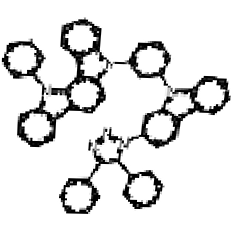 c1ccc(-c2nnn(-c3ccc4c5ccccc5n(-c5cccc(-n6c7ccccc7c7c6ccc6c8ccccc8n(-c8ccccc8)c67)c5)c4c3)c2-c2ccccc2)cc1